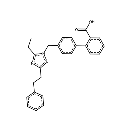 CCc1nc(CCc2ccccc2)nn1Cc1ccc(-c2ccccc2C(=O)O)cc1